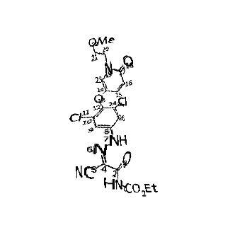 CCOC(=O)NC(=O)C(C#N)=NNc1cc(Cl)c(Oc2ccc(=O)n(CCOC)c2)c(Cl)c1